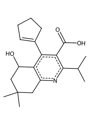 CC(C)c1nc2c(c(C3=CCCC3)c1C(=O)O)C(O)CC(C)(C)C2